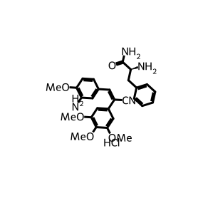 COc1ccc(C=C(C#N)c2cc(OC)c(OC)c(OC)c2)cc1N.Cl.NC(=O)[C@@H](N)Cc1ccccc1